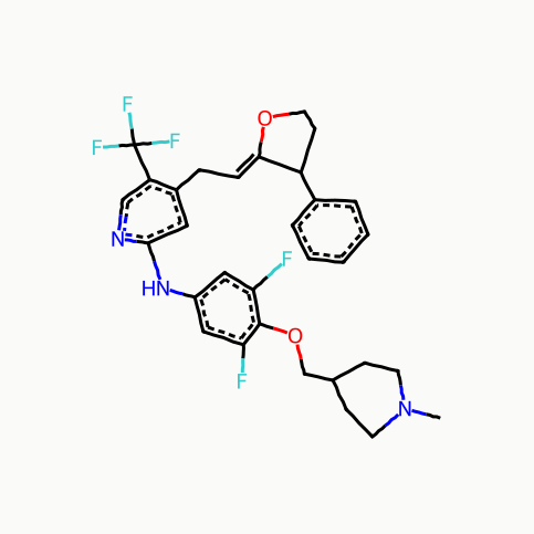 CN1CCC(COc2c(F)cc(Nc3cc(C/C=C4\OCCC4c4ccccc4)c(C(F)(F)F)cn3)cc2F)CC1